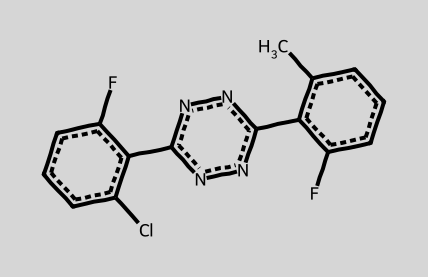 Cc1cccc(F)c1-c1nnc(-c2c(F)cccc2Cl)nn1